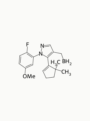 BCc1cnn(-c2cc(OC)ccc2F)c1C1=CCCC1(C)C